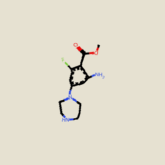 COC(=O)c1c(N)cc(N2CCNCC2)cc1F